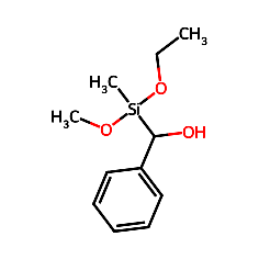 CCO[Si](C)(OC)C(O)c1ccccc1